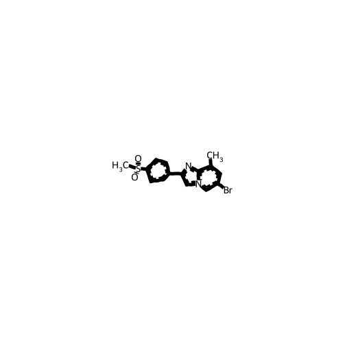 Cc1cc(Br)cn2cc(-c3ccc(S(C)(=O)=O)cc3)nc12